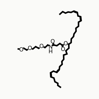 CCCCC/C=C\C/C=C\CCCCCCCCC(CCCCCCCC/C=C\C/C=C\CCCCC)OC(=O)CCC(=O)NCCOCCCOCCOC